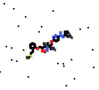 CCSCCc1ccccc1OCC(O)CNC(C)(C)COc1ccc(NN=C(C)C)nn1